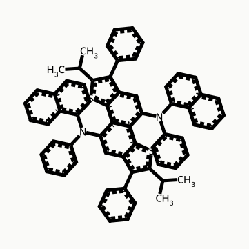 CC(C)c1sc2c(cc(N(c3ccccc3)c3cccc4ccccc34)c3c4sc(C(C)C)c(-c5ccccc5)c4cc(N(c4ccccc4)c4cccc5ccccc45)c23)c1-c1ccccc1